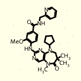 COc1cc(C(=O)NCc2ccccn2)ccc1Nc1ncc2c(n1)N(C1CCCC1)CC(C)(C)C(=O)N2C